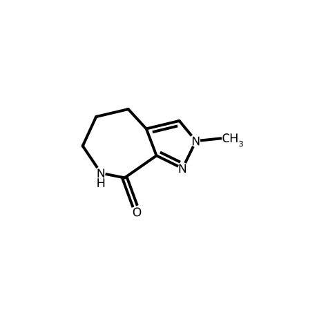 Cn1cc2c(n1)C(=O)NCCC2